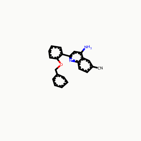 N#Cc1ccc2nc(-c3ccccc3OCc3ccccc3)cc(N)c2c1